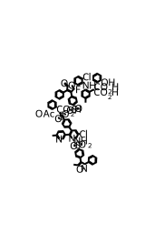 CC(=O)Oc1ccccc1C(=O)O.CS(=O)(=O)c1ccc(C2=C(c3ccccc3)C(=O)OC2)cc1.Cc1ccc(-c2ncc(Cl)cc2-c2ccc(S(C)(=O)=O)cc2)cn1.Cc1ccc(Nc2c(F)cccc2Cl)c(CC(=O)O)c1.Cc1onc(-c2ccccc2)c1-c1ccc(S(N)(=O)=O)cc1.O=C(O)c1ccccc1O